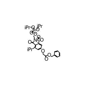 CC(C)OP(=O)(OCN1C(=O)c2c(C(C)C)cc(OCC(=O)OCc3ccccc3)cc2S1(=O)=O)OC(C)C